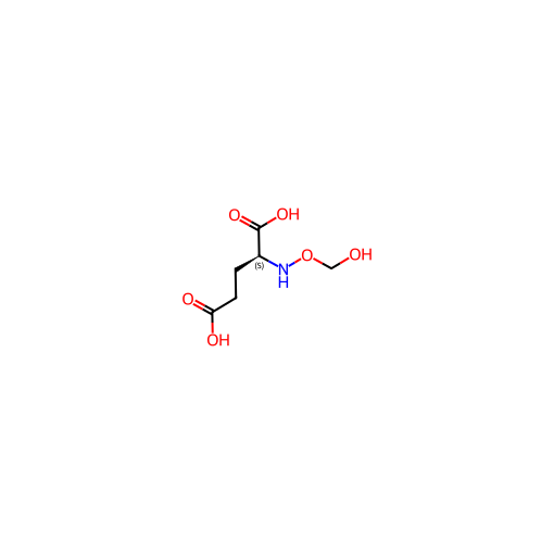 O=C(O)CC[C@H](NOCO)C(=O)O